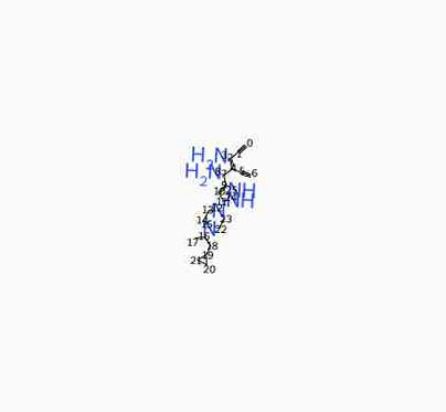 C#C/C(N)=C(\C#C)C(N)C1=CC(N2CCN(C(C)CC3CC3)CC2)NN1